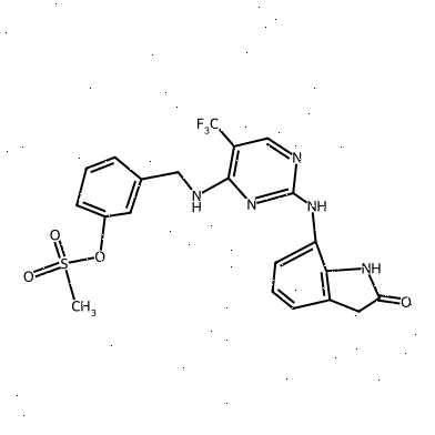 CS(=O)(=O)Oc1cccc(CNc2nc(Nc3cccc4c3NC(=O)C4)ncc2C(F)(F)F)c1